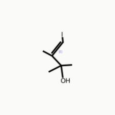 C/C(=C\I)C(C)(C)O